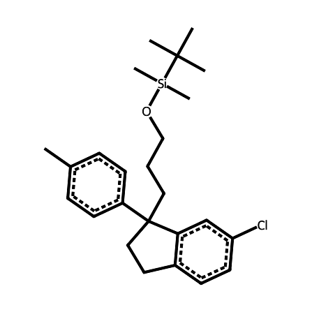 Cc1ccc(C2(CCCO[Si](C)(C)C(C)(C)C)CCc3ccc(Cl)cc32)cc1